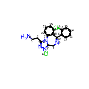 NCCC1=NN(Cl)C2CN=C(c3ccccc3Cl)c3ccccc3N12